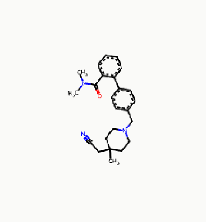 CN(C)C(=O)c1ccccc1-c1ccc(CN2CCC(C)(CC#N)CC2)cc1